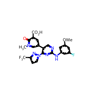 COc1cc(F)cc(Nc2ncc(-c3cc(C(=O)O)c(=O)n(C)c3)c(-n3ccc(C(F)(F)F)n3)n2)c1